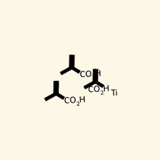 C=C(C)C(=O)O.C=C(C)C(=O)O.C=C(C)C(=O)O.[Ti]